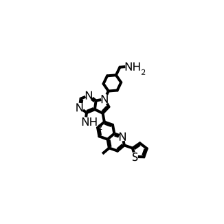 Cc1cc(-c2cccs2)nc2cc(-c3cn(C4CCC(CN)CC4)c4ncnc(N)c34)ccc12